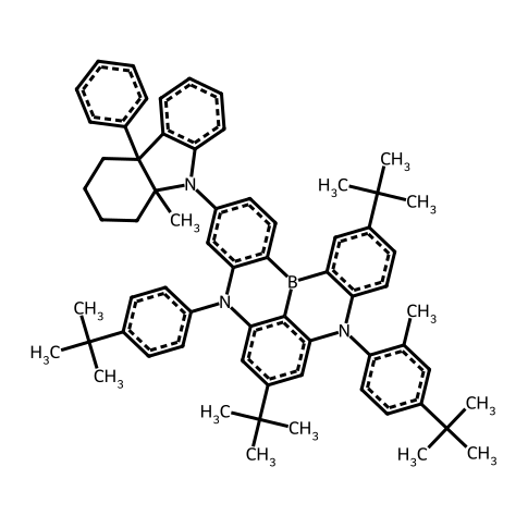 Cc1cc(C(C)(C)C)ccc1N1c2ccc(C(C)(C)C)cc2B2c3ccc(N4c5ccccc5C5(c6ccccc6)CCCCC45C)cc3N(c3ccc(C(C)(C)C)cc3)c3cc(C(C)(C)C)cc1c32